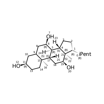 CCC[C@@H](C)[C@H]1CC[C@H]2[C@@H]3[C@H](O)CC4C[C@H](O)CC[C@]4(C)[C@H]3C[C@H](O)[C@]12C